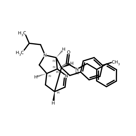 Cc1ccc(C[C@@H]2[C@@H]3C=N[C@@]4(C(=O)NCc5ccccc5)[C@@H](C3)CN(CC(C)C)[C@@H]24)cc1